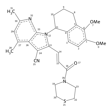 COc1ccc2c(c1OC)CCCC2n1c(/C=C/C(=O)N2CCSCC2)c(C#N)c2c(C)cc(C)nc21